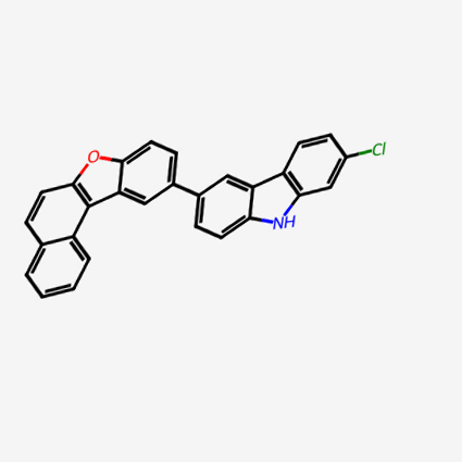 Clc1ccc2c(c1)[nH]c1ccc(-c3ccc4oc5ccc6ccccc6c5c4c3)cc12